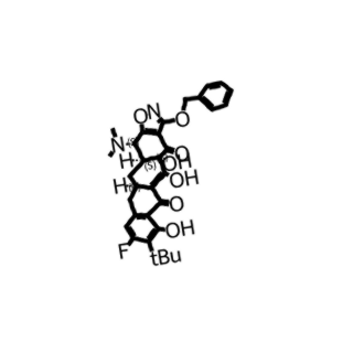 CN(C)[C@@H]1c2onc(OCc3ccccc3)c2C(=O)[C@@]2(O)C(O)=C3C(=O)c4c(cc(F)c(C(C)(C)C)c4O)C[C@H]3C[C@@H]12